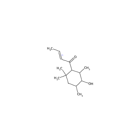 C/C=C/C(=O)C1C(C)C(O)C(C)CC1(C)C